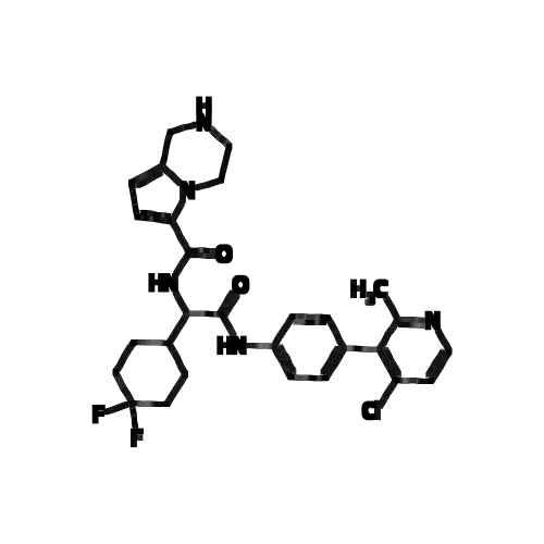 Cc1nccc(Cl)c1-c1ccc(NC(=O)C(NC(=O)c2ccc3n2CCNC3)C2CCC(F)(F)CC2)cc1